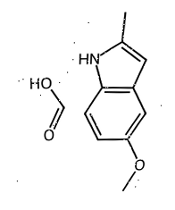 COc1ccc2[nH]c(C)cc2c1.O=CO